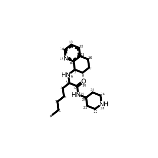 CCCCCC(NC1CCCc2cccnc21)C(=O)NC1CCNCC1